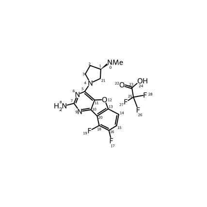 CN[C@@H]1CCN(c2nc(N)nc3c2oc2ccc(F)c(F)c23)C1.O=C(O)C(F)(F)F